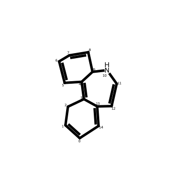 C1=CCC2=C3C=CC=CC3NC=CC2=C1